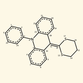 c1ccc(N2c3ccccc3C(=C3SCCCS3)c3ccccc32)cc1